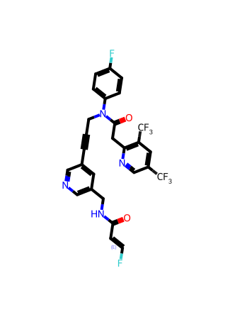 O=C(/C=C/F)NCc1cncc(C#CCN(C(=O)Cc2ncc(C(F)(F)F)cc2C(F)(F)F)c2ccc(F)cc2)c1